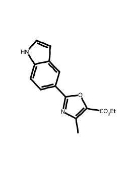 CCOC(=O)c1oc(-c2ccc3[nH]ccc3c2)nc1C